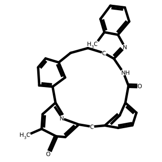 Cc1ccccc1/N=C1\CCCc2cccc(c2)-c2cc(C)c(=O)cc(n2)Cc2cccc(c2)C(=O)N1